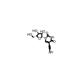 CCCC#Cc1cn([C@@H]2O[C@H](CO)[C@@H](O)[C@H]2O)c(=O)[nH]c1=O